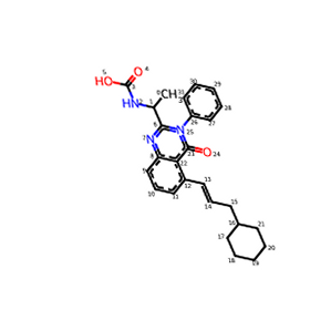 CC(NC(=O)O)c1nc2cccc(/C=C/CC3CCCCC3)c2c(=O)n1-c1ccccc1